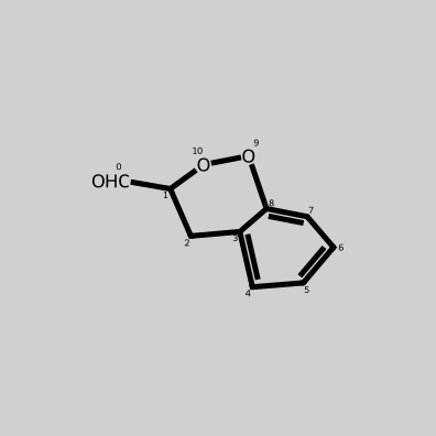 O=CC1Cc2ccccc2OO1